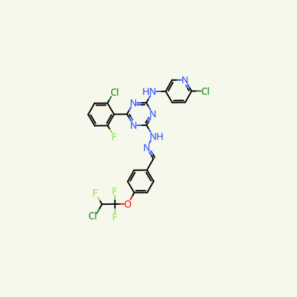 Fc1cccc(Cl)c1-c1nc(NN=Cc2ccc(OC(F)(F)C(F)Cl)cc2)nc(Nc2ccc(Cl)nc2)n1